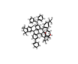 Cc1cc2c(cc1C1c3ccc(-c4ccccc4)cc3B3c4cc5c(cc4C(c4ccc(C(C)(C)C)cc4-c4ccccc4)c4cc(N(c6ccccc6)c6ccccc6)cc1c43)C(C)(C)CC5(C)C)C(C)(C)CC2(C)C